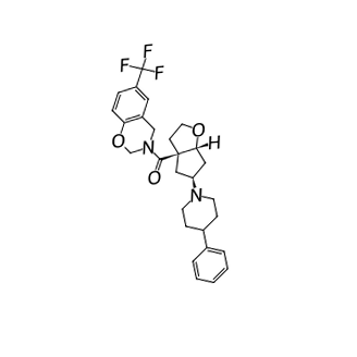 O=C(N1COc2ccc(C(F)(F)F)cc2C1)[C@@]12CCO[C@@H]1C[C@@H](N1CCC(c3ccccc3)CC1)C2